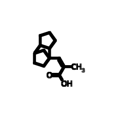 CC(=CC12CCC(C1)C1CCCC12)C(=O)O